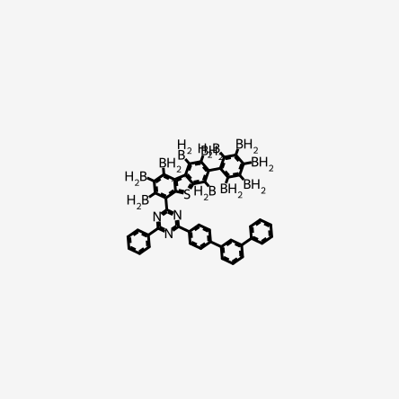 Bc1c(B)c(B)c(-c2c(B)c(B)c3c(sc4c(-c5nc(-c6ccccc6)nc(-c6ccc(-c7cccc(-c8ccccc8)c7)cc6)n5)c(B)c(B)c(B)c43)c2B)c(B)c1B